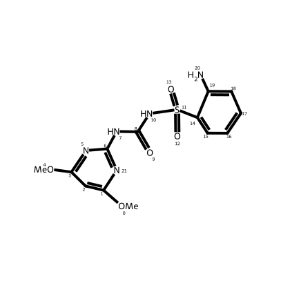 COc1cc(OC)nc(NC(=O)NS(=O)(=O)c2ccccc2N)n1